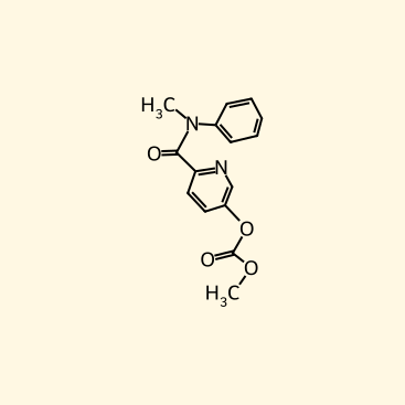 COC(=O)Oc1ccc(C(=O)N(C)c2ccccc2)nc1